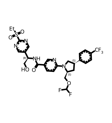 CCS(=O)(=O)c1ncc([C@H](CO)NC(=O)c2ccc(N3C[C@H](c4ccc(C(F)(F)F)cc4)C[C@H]3COC(F)F)nc2)cn1